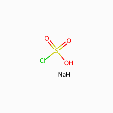 O=S(=O)(O)Cl.[NaH]